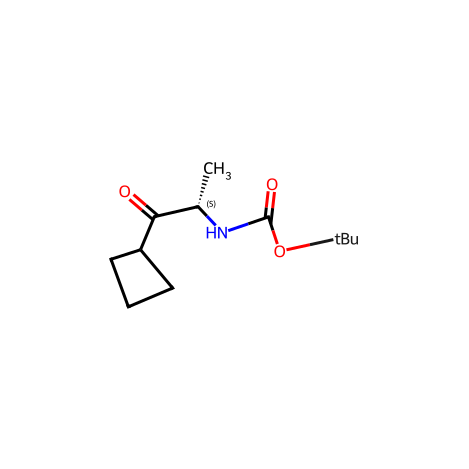 C[C@H](NC(=O)OC(C)(C)C)C(=O)C1CCC1